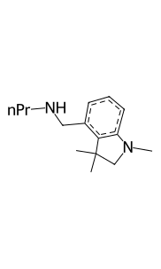 CCCNCc1cccc2c1C(C)(C)CN2C